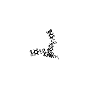 CC(=O)OC(c1cc2n(n1)CCN(C(=O)OCc1ccc([N+](=O)[O-])cc1)C2)[C@]1(Br)C(=O)N2C(C(=O)OCc3ccc([N+](=O)[O-])cc3)=CS[C@H]21